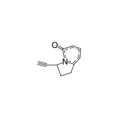 C#CC1CCc2cccc(=O)n21